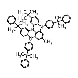 Cc1cc2c3c(c1)N(c1ccc(C(C)(C)c4ccccc4)cc1)C1C=CC(C(C)(C)C)=CC1B3C1=CC(C(C)(C)c3ccccc3)=CCC1N2c1ccc(C(C)(C)c2ccccc2)cc1